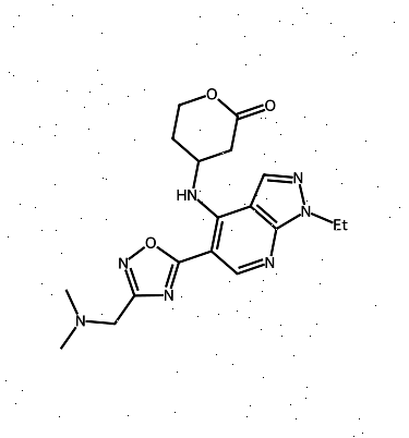 CCn1ncc2c(NC3CCOC(=O)C3)c(-c3nc(CN(C)C)no3)cnc21